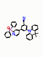 CC1(C)c2ccccc2N(c2cc(C#N)cc(-c3ccnc(P(=O)(c4ccccc4)c4ccccc4)c3)c2)c2ccccc21